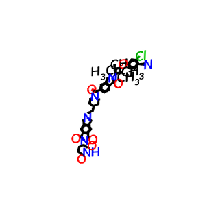 CC1(C)[C@H](Oc2ccc(C#N)c(Cl)c2)C(C)(C)[C@H]1N1Cc2cc(C(=O)N3CCC(CCN4Cc5cc6c(cc5C4)C(=O)N(C4CCC(=O)NC4=O)C6=O)CC3)ccc2C1=O